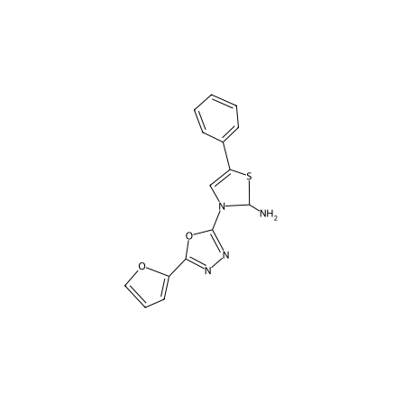 NC1SC(c2ccccc2)=CN1c1nnc(-c2ccco2)o1